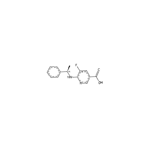 C[C@@H](Nc1ncc(C(=O)O)cc1F)c1ccccc1